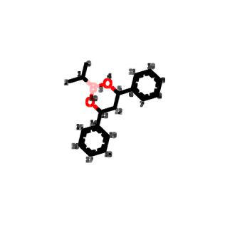 CC(C)B1OC(c2ccccc2)CC(c2ccccc2)O1